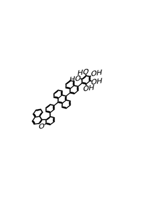 Oc1c(O)c(O)c(-c2ccc(-c3c4ccccc4c(-c4cccc(-c5cccc6oc7ccc8ccccc8c7c56)c4)c4ccccc34)c3ccccc23)c(O)c1O